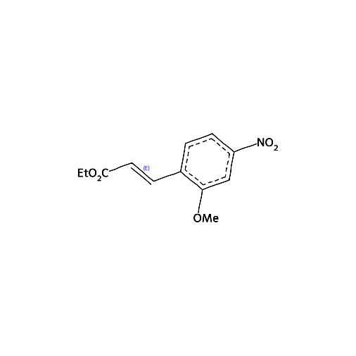 CCOC(=O)/C=C/c1ccc([N+](=O)[O-])cc1OC